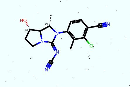 Cc1c(N2C(=NC#N)N3CC[C@H](O)C3[C@@H]2C)ccc(C#N)c1Cl